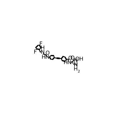 NC[C@H](NC(=O)c1ccc(C#Cc2ccc(NC(=O)CNCc3cc(F)ccc3F)cc2)cc1)C(=O)NO